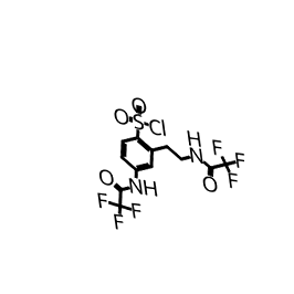 O=C(NCCc1cc(NC(=O)C(F)(F)F)ccc1S(=O)(=O)Cl)C(F)(F)F